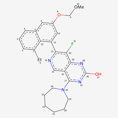 CCc1cccc2cc(OCOC)cc(-c3ncc4c(N5CCCCCC5)nc(O)nc4c3F)c12